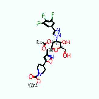 CCC(=O)O[C@@H]1[C@@H](n2cc(-c3cc(F)c(F)c(F)c3)nn2)[C@@H](O)[C@@H](CO)O[C@@H]1Cc1cc(C2CCN(C(=O)OC(C)(C)C)CC2)on1